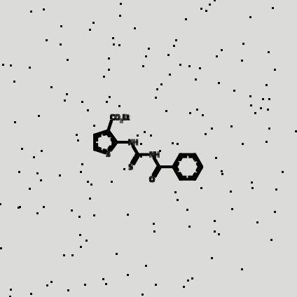 CCOC(=O)c1ccsc1NC(=S)NC(=O)c1ccccc1